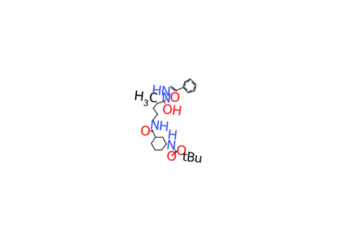 CC(CCCNC(=O)C1CCCC(NC(=O)OC(C)(C)C)C1)[C@H](O)N1NC=C(c2ccccc2)O1